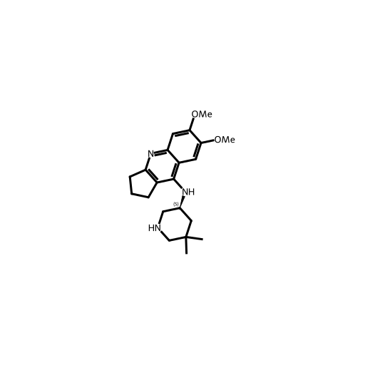 COc1cc2nc3c(c(N[C@@H]4CNCC(C)(C)C4)c2cc1OC)CCC3